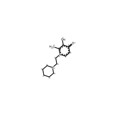 Cc1c(O)c(=O)ccn1CCN1CCCCC1